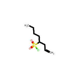 C=CCC(CCCC)S(=O)(=O)Cl